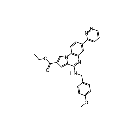 CCOC(=O)c1cc2c(NCc3ccc(OC)cc3)nc3cc(-c4cccnn4)ccc3n2c1